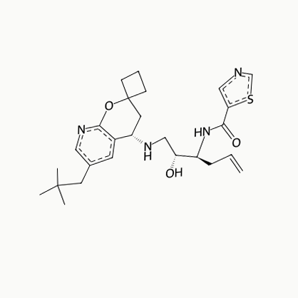 C=CC[C@H](NC(=O)c1cncs1)[C@H](O)CN[C@H]1CC2(CCC2)Oc2ncc(CC(C)(C)C)cc21